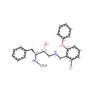 O=C(O)N[C@@H](Cc1ccccc1)[C@H](O)CNCc1c(Cl)cccc1Oc1ccccc1